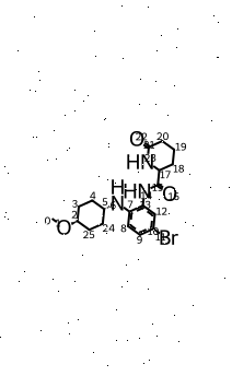 CO[C@H]1CC[C@H](Nc2ccc(Br)cc2NC(=O)C2CCCC(=O)N2)CC1